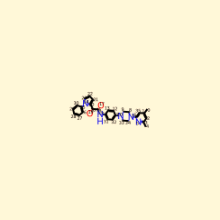 Cc1cc(C)nc(N2CCN(c3ccc(NC(=O)C(=O)c4cccn4-c4ccccc4)cc3)CC2)c1